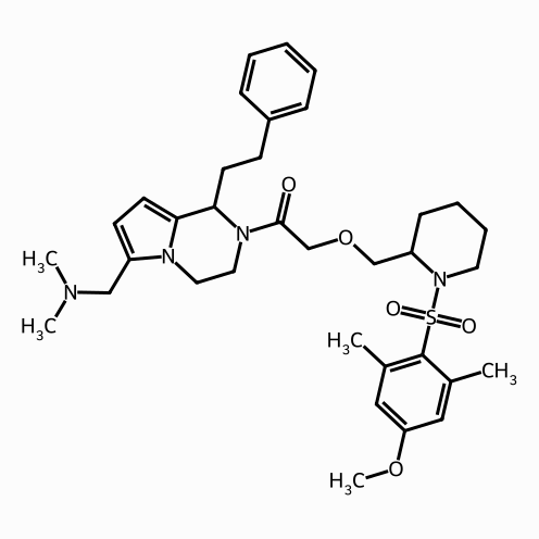 COc1cc(C)c(S(=O)(=O)N2CCCCC2COCC(=O)N2CCn3c(CN(C)C)ccc3C2CCc2ccccc2)c(C)c1